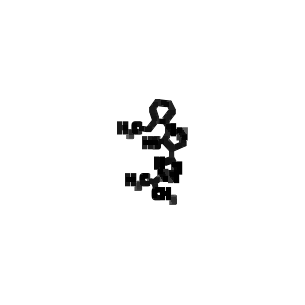 CCc1ccccc1-n1ncc(-c2nnn(C(C)C)n2)c1S